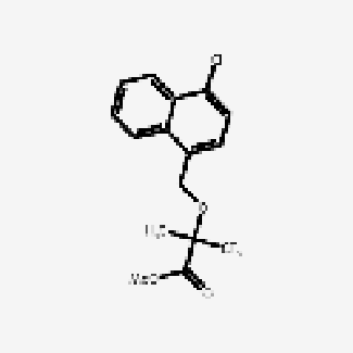 COC(=O)C(C)(OCc1ccc(Cl)c2ccccc12)C(F)(F)F